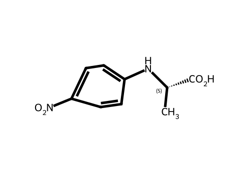 C[C@H](Nc1ccc([N+](=O)[O-])cc1)C(=O)O